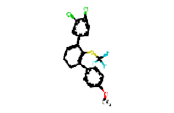 COc1ccc(C2=C(SC(F)(F)F)C(c3ccc(Cl)c(Cl)c3)=CC[CH]2)cc1